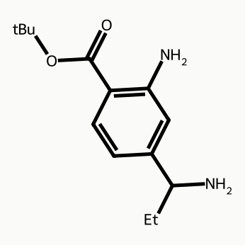 CCC(N)c1ccc(C(=O)OC(C)(C)C)c(N)c1